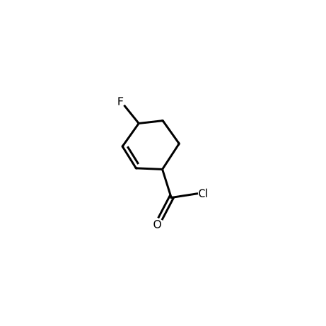 O=C(Cl)C1C=CC(F)CC1